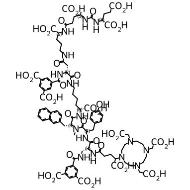 CN(C(=O)[C@@H](Cc1ccc(O)cc1)NC(=O)[C@@H](CNC(=O)c1cc(C(=O)O)cc(C(=O)O)c1)NC(=O)CCC(C(=O)O)N1CCN(CC(=O)O)CCN(CC(=O)O)CCN(CC(=O)O)CC1)[C@H](Cc1ccc2ccccc2c1)C(=O)N[C@H](CCCCNC(=O)[C@@H](CC(=O)NCCC[C@H](NC(=O)CC[C@H](NC(=O)N[C@@H](CCC(=O)O)C(=O)O)C(=O)O)C(=O)O)NC(=O)c1cc(C(=O)O)cc(C(=O)O)c1)C(=O)O